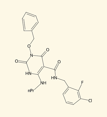 CCCNc1[nH]c(=O)n(OCc2ccccc2)c(=O)c1C(=O)NCc1cccc(Cl)c1F